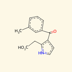 Cc1cccc(C(=O)c2cc[nH]c2CC(=O)O)c1